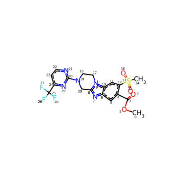 COC(=O)c1cc2nc3n(c2cc1S(C)(=O)=O)CCN(c1nccc(C(F)(F)F)n1)C3